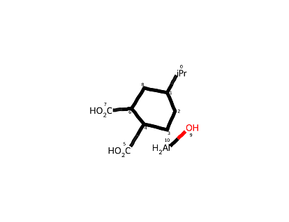 CC(C)C1CCC(C(=O)O)C(C(=O)O)C1.[OH][AlH2]